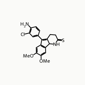 COc1cc2c(cc1OC)C1NC(=S)CCC1=C2c1ccc(N)c(Cl)c1